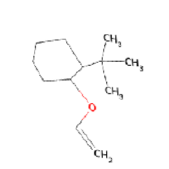 C=COC1CCCCC1C(C)(C)C